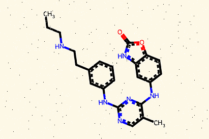 CCCNCCc1cccc(Nc2ncc(C)c(Nc3ccc4oc(=O)[nH]c4c3)n2)c1